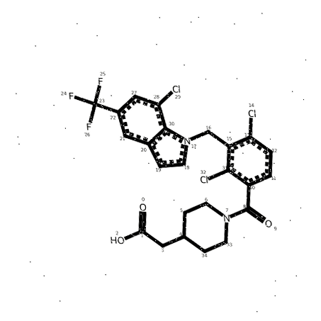 O=C(O)CC1CCN(C(=O)c2ccc(Cl)c(Cn3ccc4cc(C(F)(F)F)cc(Cl)c43)c2Cl)CC1